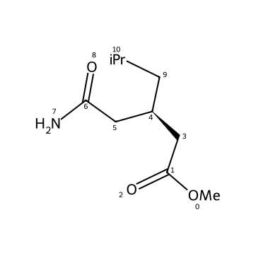 COC(=O)C[C@@H](CC(N)=O)CC(C)C